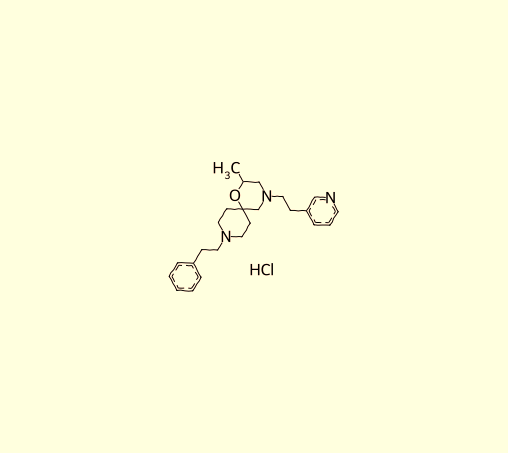 CC1CN(CCc2cccnc2)CC2(CCN(CCc3ccccc3)CC2)O1.Cl